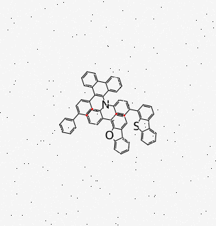 c1ccc(-c2ccc(-c3c(N(c4ccc(-c5cccc6c5sc5ccccc56)cc4)c4ccccc4-c4cccc5c4oc4ccccc45)c4ccccc4c4ccccc34)cc2)cc1